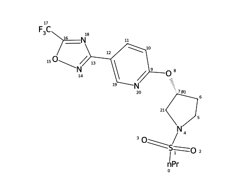 CCCS(=O)(=O)N1CC[C@@H](Oc2ccc(-c3noc(C(F)(F)F)n3)cn2)C1